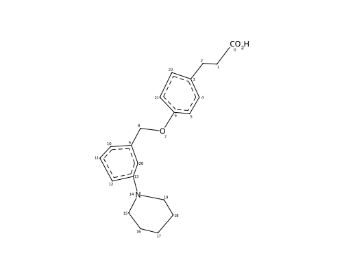 O=C(O)CCc1ccc(OCc2cccc(N3CCCCC3)c2)cc1